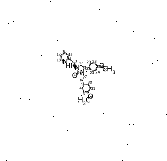 COc1ccc(CCN2C(=O)N(NCc3ccccn3)C[C@@H]2c2ccc(OC)cc2)cc1